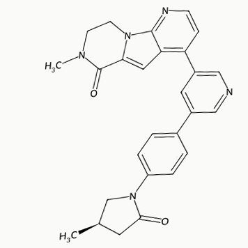 C[C@@H]1CC(=O)N(c2ccc(-c3cncc(-c4ccnc5c4cc4n5CCN(C)C4=O)c3)cc2)C1